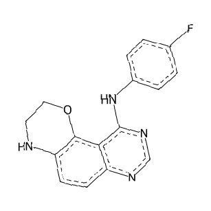 Fc1ccc(Nc2ncnc3ccc4c(c23)OCCN4)cc1